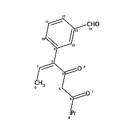 CC=C(C(=O)CC(=O)C(C)C)c1cccc(C=O)c1